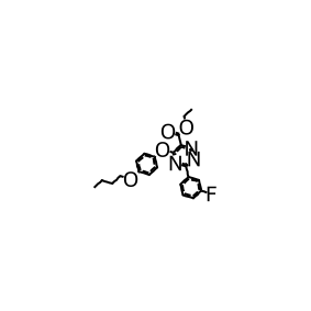 CCCCOc1ccc(Oc2nc(-c3cccc(F)c3)nnc2C(=O)OCC)cc1